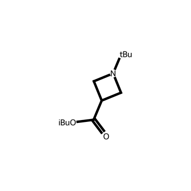 CC(C)COC(=O)C1CN(C(C)(C)C)C1